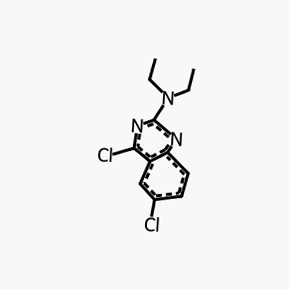 CCN(CC)c1nc(Cl)c2cc(Cl)ccc2n1